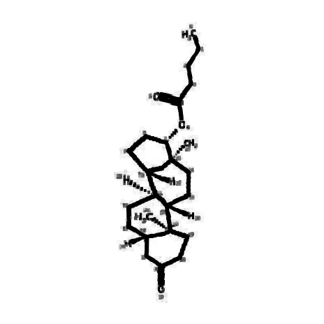 CCCCC(=O)O[C@H]1CC[C@H]2[C@@H]3CC[C@H]4CC(=O)CC[C@]4(C)[C@H]3CC[C@]12C